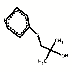 CC(C)(O)CSc1ccncc1